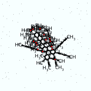 BBB(B)B(B(B)B)c1c(B(B(B)B)B(B)B)c(B(BB)B(B)B)c(B(B)B(B)B)c2c(B(B)BB)c(-c3c(C)c(C)c(C)c4c(-c5c(C#CC#CC#CC#CC#C)c6c(C)c(C#C)c(C#CC)c(C#CC#C)c6c6c(C#CC#CC)c(C#CC#CC#C)c(C#CC#CC#CC)c(C#CC#CC#CC#C)c56)c5c(C)c(C)c(C)c(C)c5c(C)c34)c(BB)c(B)c12